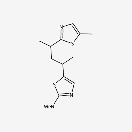 CNc1ncc(C(C)CC(C)c2ncc(C)s2)s1